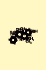 CCC12CC(C)(O)C(O)(c3ccccc3)C[C@H]1CC(C)(C)c1cc(O)ccc12